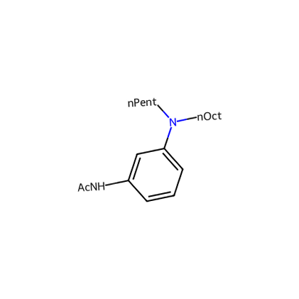 CCCCCCCCN(CCCCC)c1cccc(NC(C)=O)c1